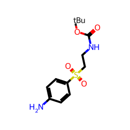 CC(C)(C)OC(=O)NCCS(=O)(=O)c1ccc(N)cc1